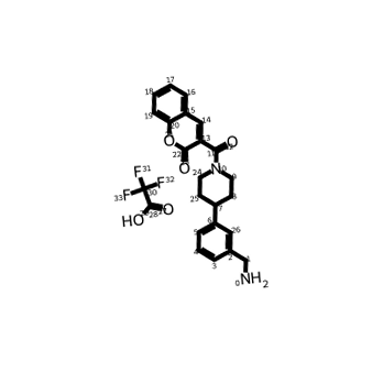 NCc1cccc(C2CCN(C(=O)c3cc4ccccc4oc3=O)CC2)c1.O=C(O)C(F)(F)F